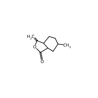 C=C1OC(=O)C2CC(C)CCC12